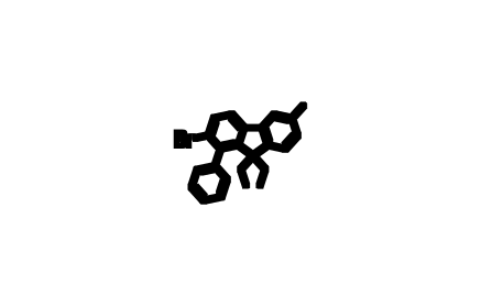 CCC1(CC)c2ccc(C)cc2-c2ccc(Br)c(-c3ccccc3)c21